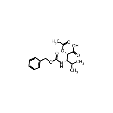 CC(=O)O[C@H](C(=O)O)[C@@H](NC(=O)OCc1ccccc1)C(C)C